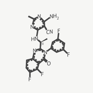 Cc1nc(N)c(C#N)c(N[C@@H](C)c2nc3ccc(F)c(F)c3c(=O)n2-c2cc(F)cc(F)c2)n1